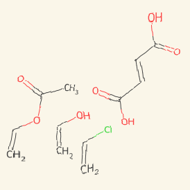 C=CCl.C=CO.C=COC(C)=O.O=C(O)C=CC(=O)O